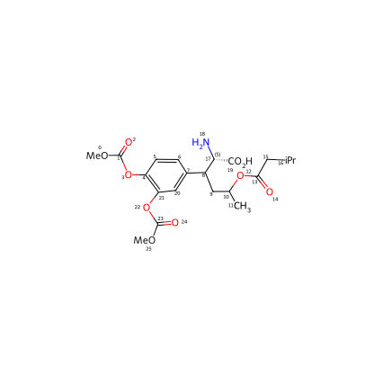 COC(=O)Oc1ccc(C(CC(C)OC(=O)CC(C)C)[C@H](N)C(=O)O)cc1OC(=O)OC